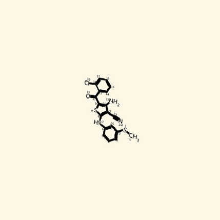 CSc1cccc(Nc2sc(C(=O)c3ccccc3Cl)c(N)c2C#N)c1